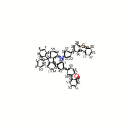 c1ccc(C2(c3ccccc3)c3ccccc3-c3c(N(c4ccc(-c5ccc6sc7ccccc7c6c5)cc4)c4cccc(-c5ccc6oc7ccccc7c6c5)c4)cccc32)cc1